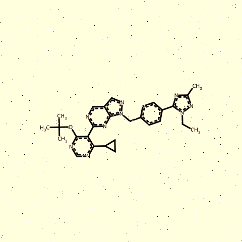 CCn1nc(C)nc1-c1ccc(Cn2ncc3cnc(-c4c(OC(C)(C)C)ncnc4C4CC4)nc32)cc1